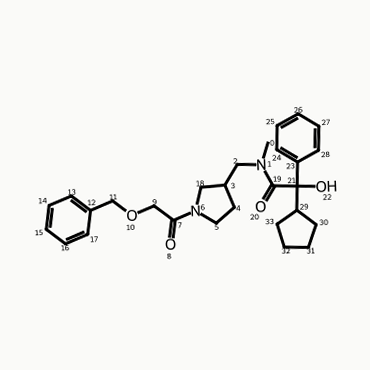 CN(CC1CCN(C(=O)COCc2ccccc2)C1)C(=O)C(O)(c1ccccc1)C1CCCC1